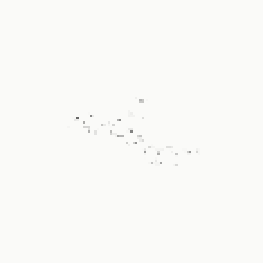 Nc1ncc(-c2nc(N3CCOCC3)c3sc(-c4ccnc(N5CCC(O)C5I)c4)cc3n2)cn1